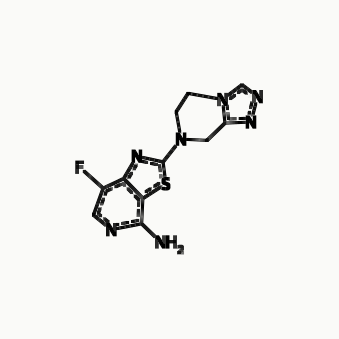 Nc1ncc(F)c2nc(N3CCn4cnnc4C3)sc12